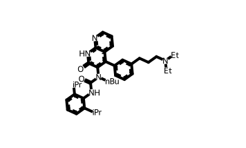 CCCCN(C(=O)Nc1c(C(C)C)cccc1C(C)C)c1c(-c2cccc(CCCN(CC)CC)c2)c2cccnc2[nH]c1=O